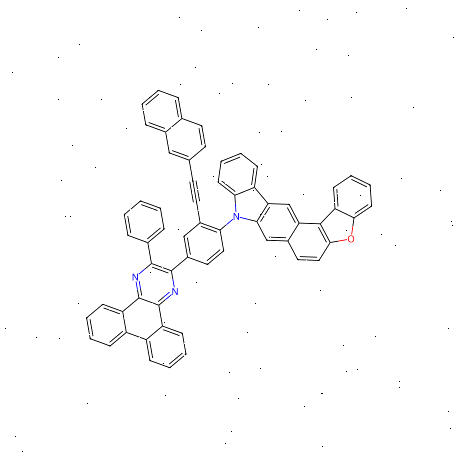 C(#Cc1cc(-c2nc3c4ccccc4c4ccccc4c3nc2-c2ccccc2)ccc1-n1c2ccccc2c2cc3c(ccc4oc5ccccc5c43)cc21)c1ccc2ccccc2c1